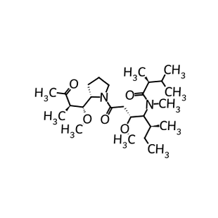 CC[C@H](C)C([C@@H](CC(=O)N1CCC[C@H]1[C@H](OC)[C@@H](C)C(C)=O)OC)N(C)C(=O)[C@@H](C)C(C)C